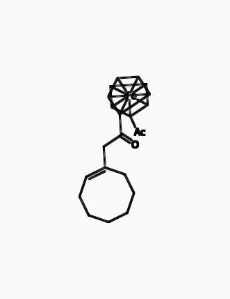 CC(=O)[C]12[CH]3[CH]4[CH]5[CH]1[Fe]45321678[CH]2[CH]1[CH]6[C]7(C(=O)CC1=CCCCCCC1)[CH]28